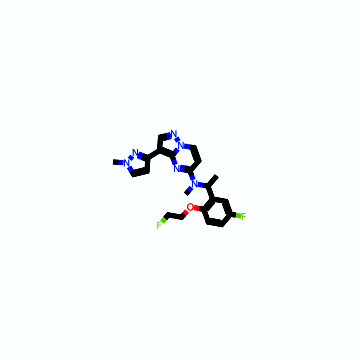 CC(c1cc(F)ccc1OCCF)N(C)c1ccn2ncc(-c3ccn(C)n3)c2n1